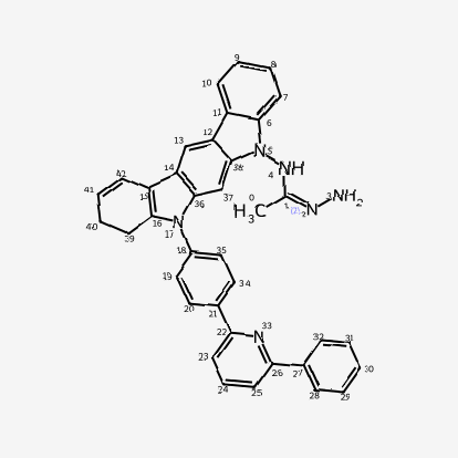 C/C(=N/N)Nn1c2ccccc2c2cc3c4c(n(-c5ccc(-c6cccc(-c7ccccc7)n6)cc5)c3cc21)CCC=C4